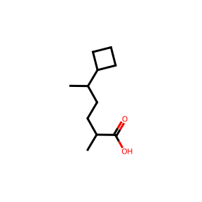 CC(CCC(C)C1CCC1)C(=O)O